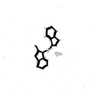 CC1=Cc2ccccc2[CH]1[Zr+2][CH]1C=Cc2ccccc21.[Cl-].[Cl-]